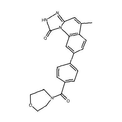 Cc1cc2n[nH]c(=O)n2c2cc(-c3ccc(C(=O)N4CCOCC4)cc3)ccc12